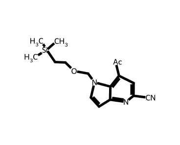 CC(=O)c1cc(C#N)nc2ccn(COCC[Si](C)(C)C)c12